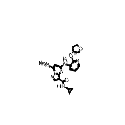 CNc1cc(Nc2cccnc2O[C@@H]2CCOC2)nc2c(C(=O)NC3CC3)cnn12